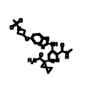 CNC(=O)c1nnc([C@@]2(C(N)=O)CC23CC3)cc1Nc1nc2ccc(OC3CN(S(C)(=O)=O)C3)cn2n1